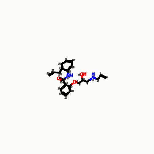 C=CCNCC(O)COc1ccccc1C(=O)Nc1ccccc1CC=C